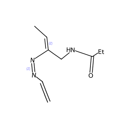 C=C/N=N\C(=C/C)CNC(=O)CC